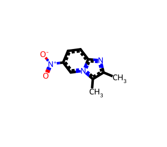 Cc1nc2ccc([N+](=O)[O-])cn2c1C